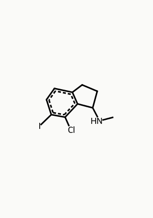 CNC1CCc2ccc(I)c(Cl)c21